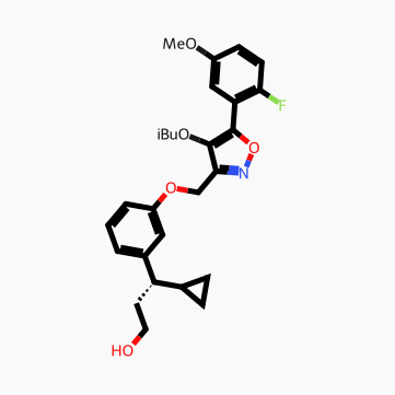 COc1ccc(F)c(-c2onc(COc3cccc([C@@H](CCO)C4CC4)c3)c2OCC(C)C)c1